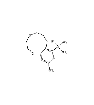 CC1=C=C2SCCSCCSC2=C(C(C)(C)C)S1